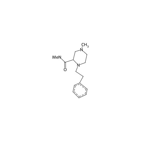 CNC(=O)C1CN(C)CCN1CCc1ccccc1